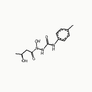 Cc1ccc(NC(=O)NN(O)C(=O)CC(C)O)cc1